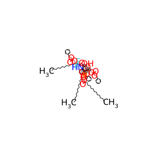 CCCCCCCCCCCCCC(=O)OC(CCCCCCCCCCC)CC(=O)O[C@@H]1C(NC(=O)C(F)(F)C(CCCCCCCCCCC)OC(=O)OCc2ccccc2)[C@H](O)O[C@H](COC(=O)OCc2ccccc2)[C@H]1OP(=O)(c1ccccc1)c1ccccc1